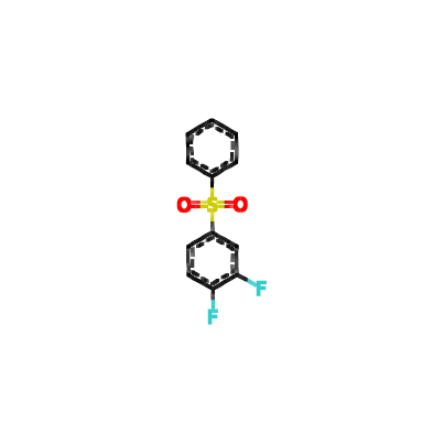 O=S(=O)(c1ccccc1)c1ccc(F)c(F)c1